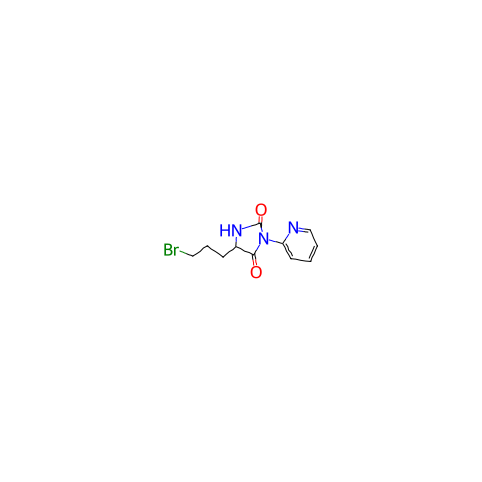 O=C1NC(CCCBr)C(=O)N1c1ccccn1